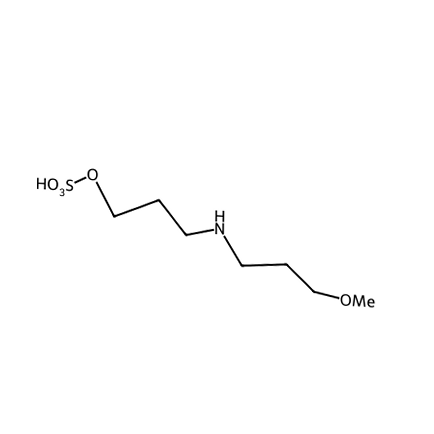 COCCCNCCCOS(=O)(=O)O